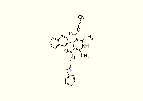 CC1=C(C(=O)OC/C=C/c2ccccc2)C(c2ccc3ccccc3c2)C(C(=O)OCCC#N)=C(C)N1